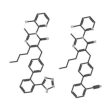 CCCCc1nc(C)n(-c2ncccc2Cl)c(=O)c1Cc1ccc(-c2ccccc2-c2nnn[nH]2)cc1.CCCCc1nc(C)n(-c2ncccc2Cl)c(=O)c1Cc1ccc(-c2ccccc2C#N)cc1